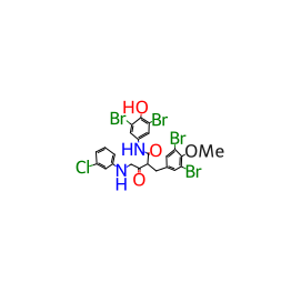 COc1c(Br)cc(CC(C(=O)CNc2cccc(Cl)c2)C(=O)Nc2cc(Br)c(O)c(Br)c2)cc1Br